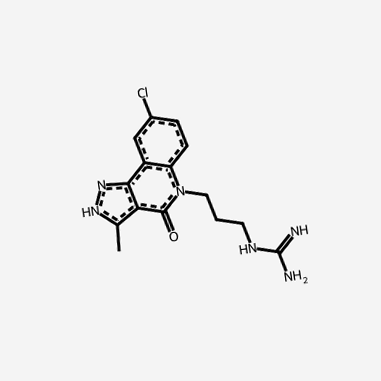 Cc1[nH]nc2c1c(=O)n(CCCNC(=N)N)c1ccc(Cl)cc21